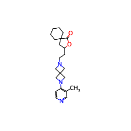 Cc1cnccc1N1CC2(CN(CCC3CC4(CCCCC4)C(=O)O3)C2)C1